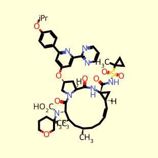 CC(C)Oc1ccc(-c2cc(O[C@@H]3C[C@H]4C(=O)N[C@]5(C(=O)NS(=O)(=O)C6(C)CC6)C[C@H]5C=CCC[C@@H](C)C[C@@H](C)[C@H](N(C(=O)O)C5(C(F)(F)F)CCCOC5)C(=O)N4C3)cc(-c3ncccn3)n2)cc1